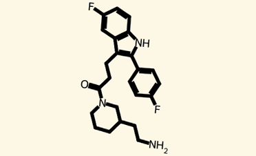 NCCC1CCCN(C(=O)CCc2c(-c3ccc(F)cc3)[nH]c3ccc(F)cc23)C1